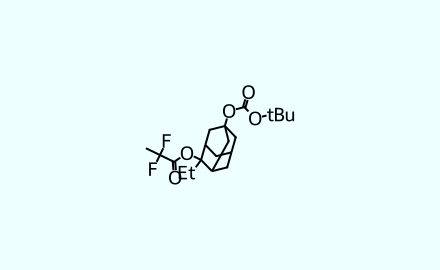 CCC1(OC(=O)C(C)(F)F)C2CC3CC1CC(OC(=O)OC(C)(C)C)(C3)C2